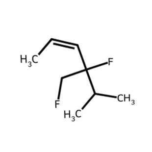 C/C=C\C(F)(CF)C(C)C